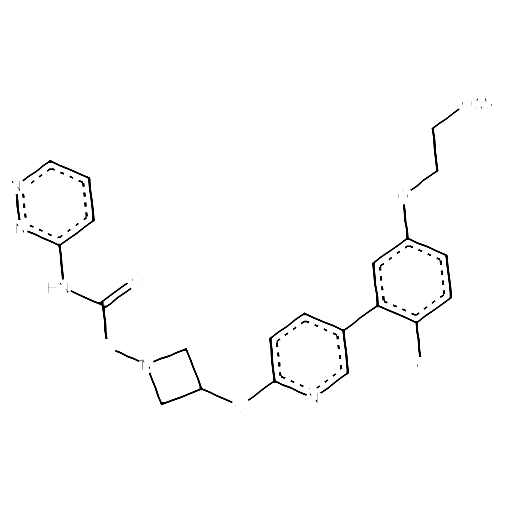 COCCOc1ccc(Cl)c(-c2ccc(OC3CN(OC(=O)Nc4cccnn4)C3)nc2)c1